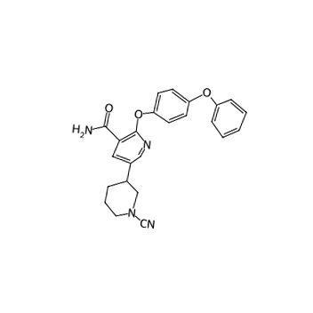 N#CN1CCCC(c2cnc(Oc3ccc(Oc4ccccc4)cc3)c(C(N)=O)c2)C1